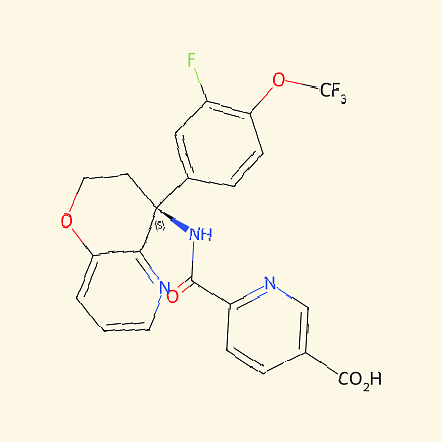 O=C(O)c1ccc(C(=O)N[C@]2(c3ccc(OC(F)(F)F)c(F)c3)CCOc3cccnc32)nc1